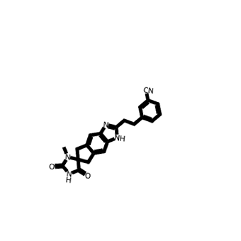 CN1C(=O)NC(=O)C12Cc1cc3nc(CCc4cccc(C#N)c4)[nH]c3cc1C2